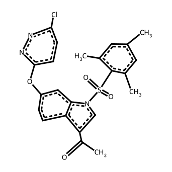 CC(=O)c1cn(S(=O)(=O)c2c(C)cc(C)cc2C)c2cc(Oc3ccc(Cl)nn3)ccc12